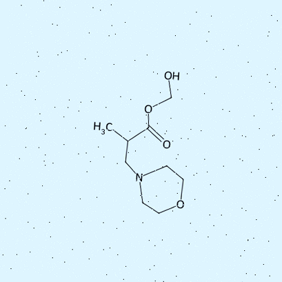 CC(CN1CCOCC1)C(=O)OCO